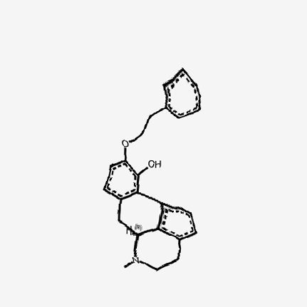 CN1CCc2cccc3c2[C@H]1Cc1ccc(OCCc2ccccc2)c(O)c1-3